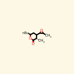 CCCCC1CC(C2OC2C)[C@H](C)C(=O)O1